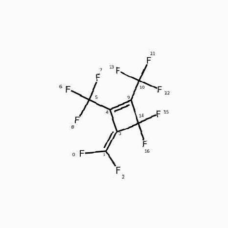 FC(F)=C1C(C(F)(F)F)=C(C(F)(F)F)C1(F)F